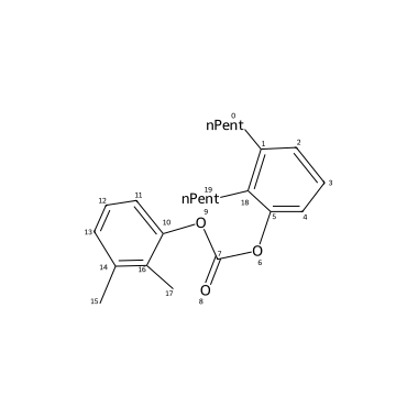 CCCCCc1cccc(OC(=O)Oc2cccc(C)c2C)c1CCCCC